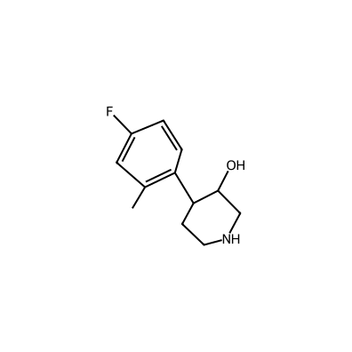 Cc1cc(F)ccc1C1CCNCC1O